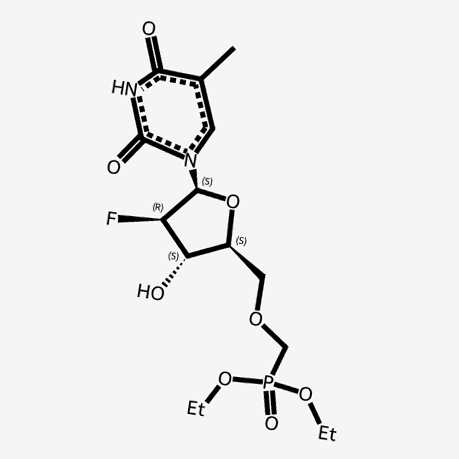 CCOP(=O)(COC[C@@H]1O[C@H](n2cc(C)c(=O)[nH]c2=O)[C@H](F)[C@H]1O)OCC